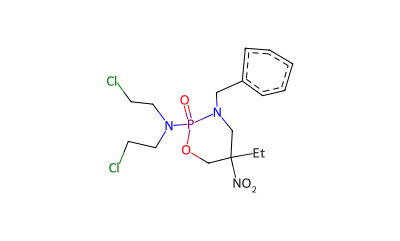 CCC1([N+](=O)[O-])COP(=O)(N(CCCl)CCCl)N(Cc2ccccc2)C1